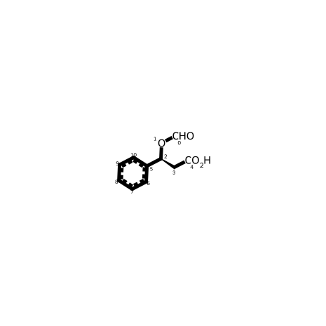 O=CO[C@@H](CC(=O)O)c1ccccc1